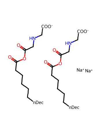 CCCCCCCCCCCCCCCC(=O)OC(=O)CNCC(=O)[O-].CCCCCCCCCCCCCCCC(=O)OC(=O)CNCC(=O)[O-].[Na+].[Na+]